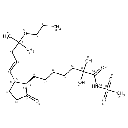 CCCOC(C)(C)CC=C[C@H]1CCC(=O)[C@@H]1CCCCCC(O)(O)C(=O)NS(C)(=O)=O